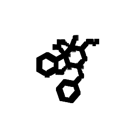 O=S(=O)(O)C1O[C@@H](Oc2ccccc2)[C@H](O)[C@](O)(c2cccnc2)[C@@]1(O)Cl